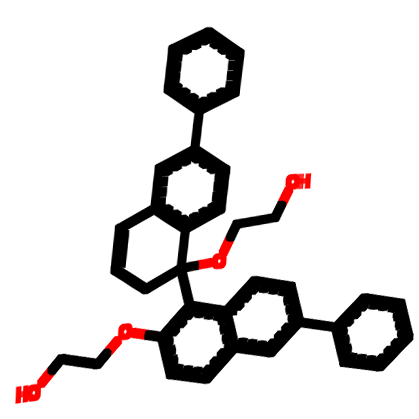 OCCOc1ccc2cc(-c3ccccc3)ccc2c1C1(OCCO)CC=Cc2cc(-c3ccccc3)ccc21